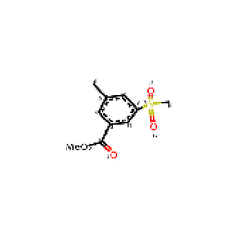 COC(=O)c1cc(C)cc(S(C)(=O)=O)c1